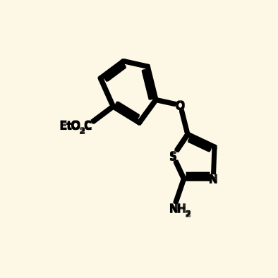 CCOC(=O)c1cccc(Oc2cnc(N)s2)c1